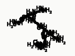 CC(=N)NCCc1ccc(OCCN(CCNC(=O)NCCCCNC(=O)NCCN(CCNC(=O)[C@H](N)CCCCNC(=N)N)CCOc2ccc(CCNC(=N)NC(=O)c3nc(Cl)c(N)nc3N)cc2)CCNC(=O)[C@H](N)CCCCNC(=N)N)cc1